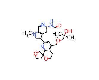 Cn1cc(-c2cc(COCC(C)(C)O)c3c(n2)C2(CCOC2)OCC3)c2cc(NC=O)ncc21